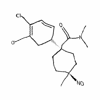 CN(C)C(=O)[C@]1(C2C=CC(Cl)=C(Cl)C2)CC[C@](C)(N=O)CC1